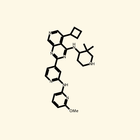 COc1cccc(Nc2cc(-c3nc(NC4CCNCC4(C)C)c4c(C5CCC5)cncc4n3)ccn2)n1